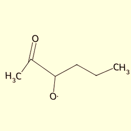 CCCC([O])C(C)=O